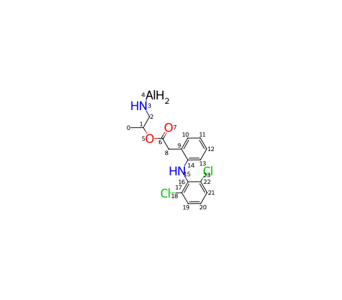 CC(C[NH][AlH2])OC(=O)Cc1ccccc1Nc1c(Cl)cccc1Cl